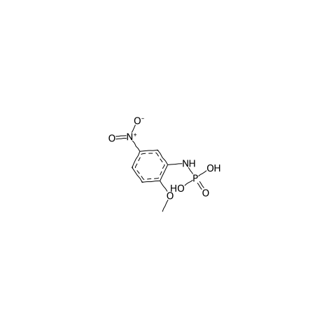 COc1ccc([N+](=O)[O-])cc1NP(=O)(O)O